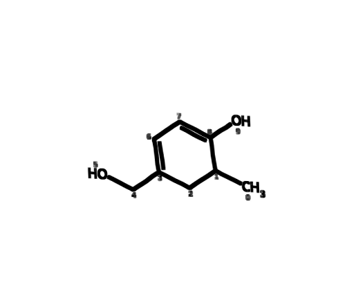 CC1CC(CO)=CC=C1O